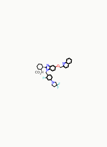 O=C(O)[C@H]1CCCC[C@H]1c1nc2cc(OCc3ccc4ccccc4n3)ccc2n1Cc1ccc(N2CCC(F)(F)C2)cc1F